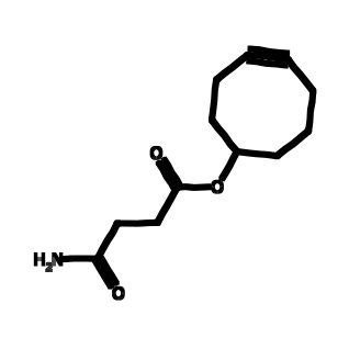 NC(=O)CCC(=O)OC1CCC#CCCC1